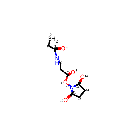 BCC(=O)NCCC(=O)ON1C(=O)CCC1=O